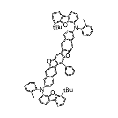 Cc1ccccc1N(c1ccc2cc3c(cc2c1)oc1c(-c2ccccc2)c2c(cc13)oc1cc3cc(N(c4ccccc4C)c4cccc5c4oc4c(C(C)(C)C)cccc45)ccc3cc12)c1cccc2c1oc1c(C(C)(C)C)cccc12